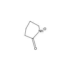 O=C1CCCCN1.[O]